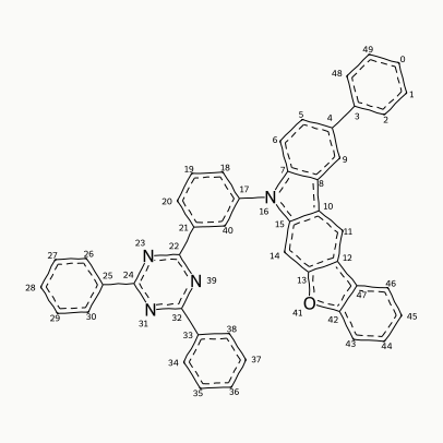 c1ccc(-c2ccc3c(c2)c2cc4c(cc2n3-c2cccc(-c3nc(-c5ccccc5)nc(-c5ccccc5)n3)c2)oc2ccccc24)cc1